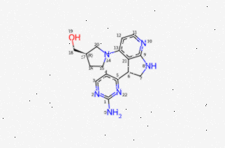 Nc1nccc(C2CNc3nccc(N4CC[C@@H](CO)C4)c32)n1